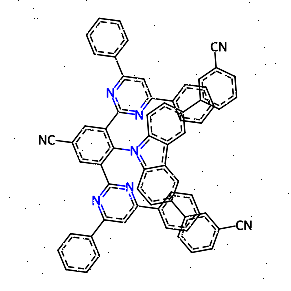 N#Cc1cccc(-c2ccc3c(c2)c2cc(-c4cccc(C#N)c4)ccc2n3-c2c(-c3nc(-c4ccccc4)cc(-c4ccccc4)n3)cc(C#N)cc2-c2nc(-c3ccccc3)cc(-c3ccccc3)n2)c1